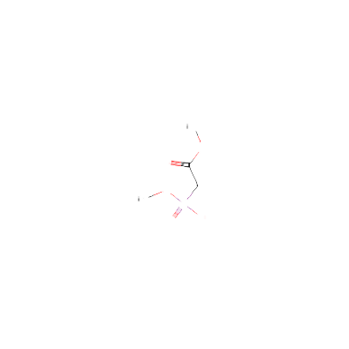 CC(C)OC(=O)CP(=O)(O)OC(C)C